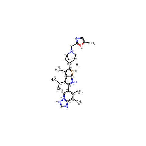 Cc1cnc(CN2C[C@@H]3CC2C[C@H]3c2sc3[nH]c(-c4cn5ncnc5c(C)c4C)c(C(C)C)c3c2C)o1